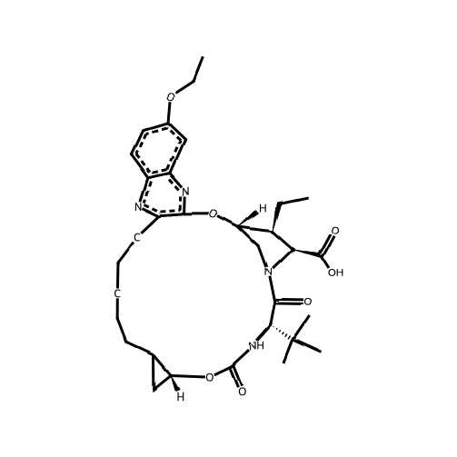 CCOc1ccc2nc3c(nc2c1)O[C@H]1CN(C(=O)[C@H](C(C)(C)C)NC(=O)O[C@@H]2CC2CCCCC3)[C@H](C(=O)O)[C@@H]1CC